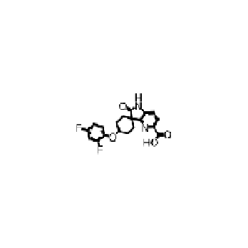 O=C(O)c1ccc2c(n1)C1(CCC(Oc3ccc(F)cc3F)CC1)C(=O)N2